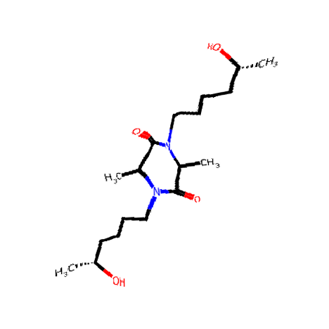 CC1C(=O)N(CCCC[C@@H](C)O)C(C)C(=O)N1CCCC[C@@H](C)O